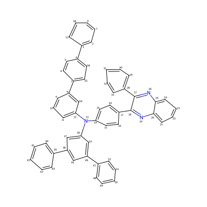 c1ccc(-c2ccc(-c3cccc(N(c4ccc(-c5nc6ccccc6nc5-c5ccccc5)cc4)c4cc(-c5ccccc5)cc(-c5ccccc5)c4)c3)cc2)cc1